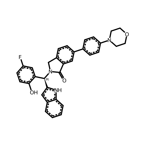 O=C1c2cc(-c3ccc(N4CCOCC4)cc3)ccc2CN1[C@@H](c1cc2ccccc2[nH]1)c1cc(F)ccc1O